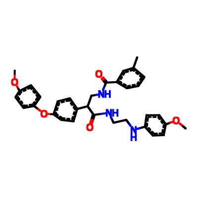 COc1ccc(NCCNC(=O)C(CNC(=O)c2cccc(C)c2)c2ccc(Oc3ccc(OC)cc3)cc2)cc1